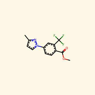 COC(=O)c1ccc(-n2ccc(C)n2)cc1C(F)(F)F